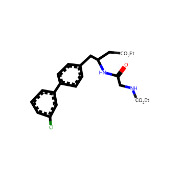 CCOC(=O)CC(Cc1ccc(-c2cccc(Cl)c2)cc1)NC(=O)CNC(=O)OCC